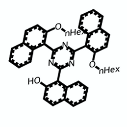 CCCCCCOc1ccc2ccccc2c1-c1nc(-c2c(O)ccc3ccccc23)nc(-c2c(OCCCCCC)ccc3ccccc23)n1